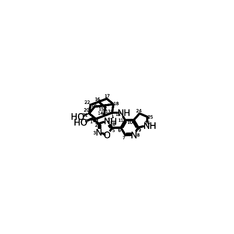 OCc1noc(-c2cnc3c(c2N[C@H]2C4CC5CC2C[C@@](O)(C5)C4)CCN3)n1